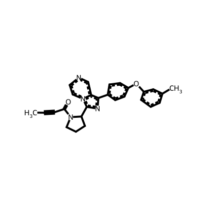 CC#CC(=O)N1CCCC1c1nc(-c2ccc(Oc3cccc(C)c3)cc2)c2cnccn12